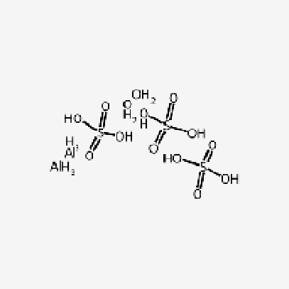 O.O.O=S(=O)(O)O.O=S(=O)(O)O.O=S(=O)(O)O.[AlH3].[AlH3]